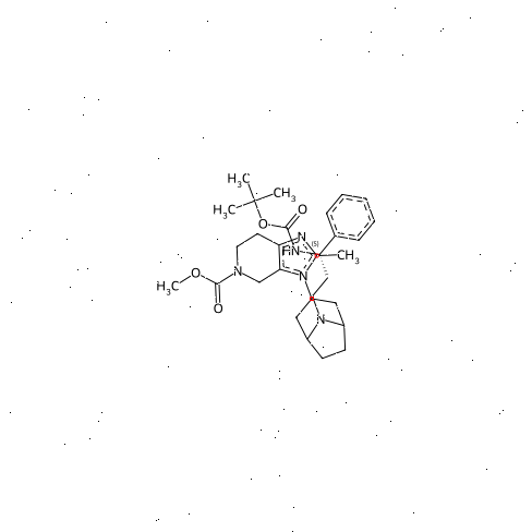 COC(=O)N1CCc2nc(C)n(C3CC4CCC(C3)N4CC[C@H](NC(=O)OC(C)(C)C)c3ccccc3)c2C1